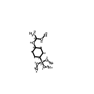 [3H]O[Si](O[3H])(O[3H])C1CCC(OC(C)OCC)CC1